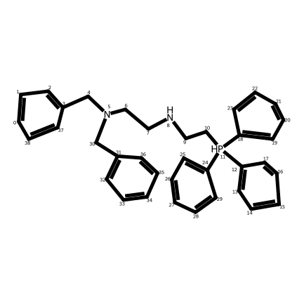 c1ccc(CN(CCNCC[PH](c2ccccc2)(c2ccccc2)c2ccccc2)Cc2ccccc2)cc1